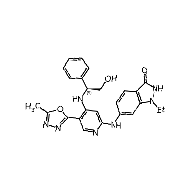 CCn1[nH]c(=O)c2ccc(Nc3cc(N[C@H](CO)c4ccccc4)c(-c4nnc(C)o4)cn3)cc21